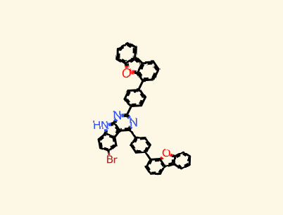 Brc1ccc2[nH]c3nc(-c4ccc(-c5cccc6c5oc5ccccc56)cc4)nc(-c4ccc(-c5cccc6c5oc5ccccc56)cc4)c3c2c1